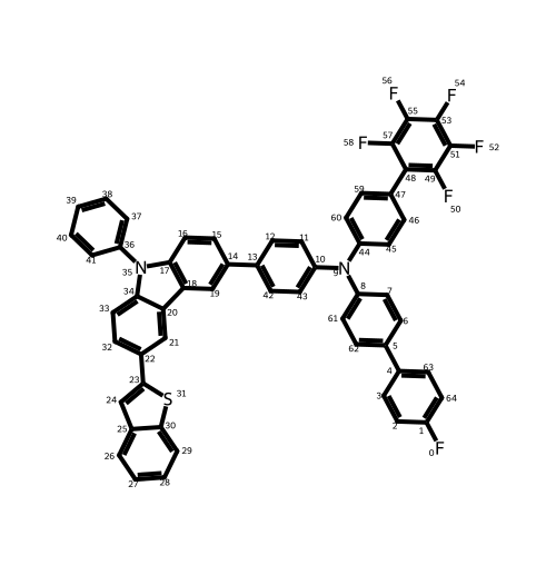 Fc1ccc(-c2ccc(N(c3ccc(-c4ccc5c(c4)c4cc(-c6cc7ccccc7s6)ccc4n5-c4ccccc4)cc3)c3ccc(-c4c(F)c(F)c(F)c(F)c4F)cc3)cc2)cc1